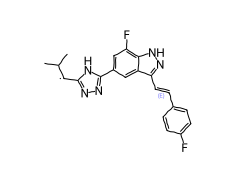 CC(C)[CH]c1nnc(-c2cc(F)c3[nH]nc(/C=C/c4ccc(F)cc4)c3c2)[nH]1